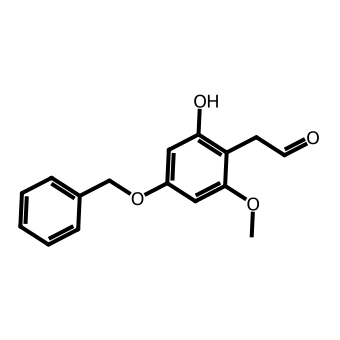 COc1cc(OCc2ccccc2)cc(O)c1CC=O